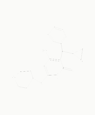 O=c1oc(CC2CCOCC2)cc(O)c1C(c1ccccc1)C1CC1